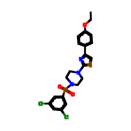 CCOc1ccc(-c2csc(N3CCN(S(=O)(=O)c4cc(Cl)cc(Cl)c4)CC3)n2)cc1